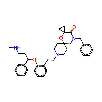 CNCCC(Oc1ccccc1CCN1CCC2(CC1)CN(Cc1ccccc1)C(=O)C1(CC1)O2)c1ccccc1